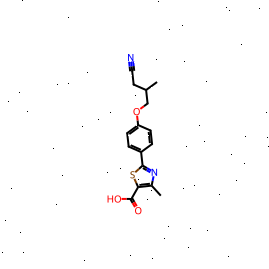 Cc1nc(-c2ccc(OCC(C)CC#N)cc2)sc1C(=O)O